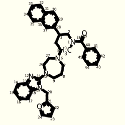 CN(CC(CCN1CCCN(c2nc3ccccc3n2Cc2ccco2)CC1)c1ccc2ccccc2c1)C(=O)c1ccccc1